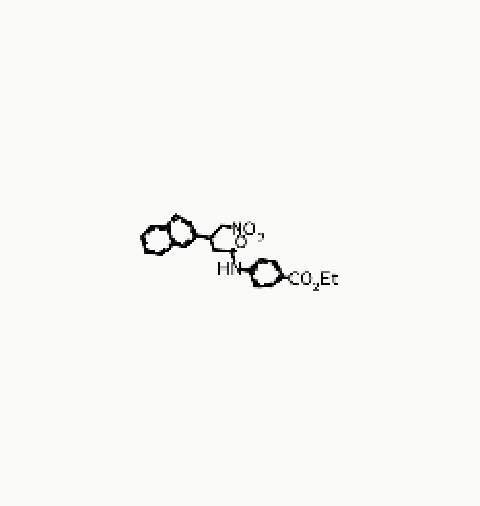 CCOC(=O)c1ccc(NC(=O)CC(C[N+](=O)[O-])c2ccc3ccccc3c2)cc1